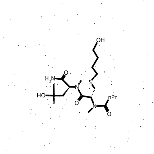 CCCC(=O)N(C)[C@@H](CSCCCCO)C(=O)N(C)[C@@H](CC(C)(C)O)C(N)=O